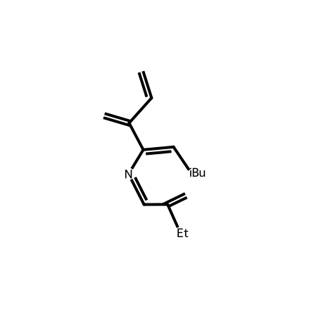 C=CC(=C)C(=C/C(C)CC)/N=C\C(=C)CC